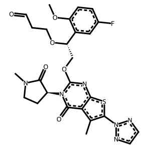 COc1ccc(F)cc1[C@H](COc1nc2sc(-n3nccn3)c(C)c2c(=O)n1[C@H]1CCN(C)C1=O)OCCC=O